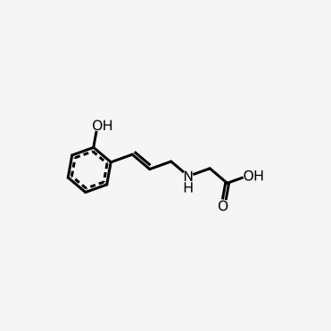 O=C(O)CNCC=Cc1ccccc1O